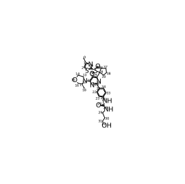 Cc1csc(S(=O)(=O)C2(c3cc(N4CCOC[C@@H]4C)nc(-c4ccc(NC(=O)NCCCO)cc4)n3)CCCC2)n1